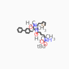 CN(CCc1cccs1)C(=O)[C@@H](Cc1ccc(-c2ccccc2)cc1)N(C)C(=O)C=CCC(C)(C)NC(=O)OC(C)(C)C